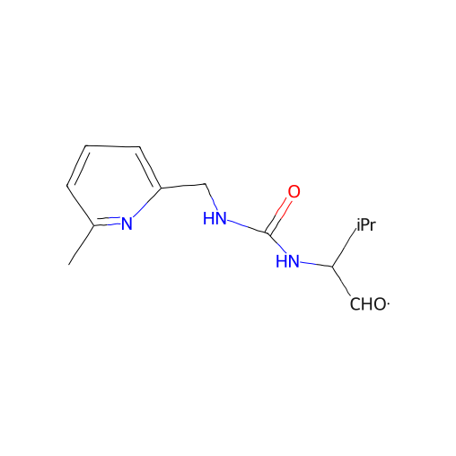 Cc1cccc(CNC(=O)NC([C]=O)C(C)C)n1